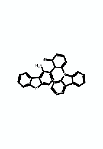 CCC1C=CC=C(n2c3ccccc3c3ccccc32)C1c1ccc2oc3ccccc3c2c1N